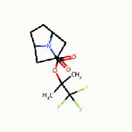 CC(C)(OC(=O)N1C2CCC1CC(=O)C2)C(F)(F)F